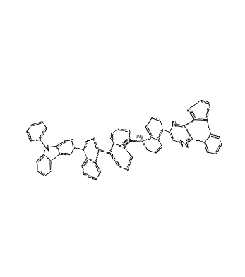 C1=CC2=C(c3cnc4c5ccccc5c5ccccc5c4n3)CCC=C2[C@H](c2cccc3c(-c4ccc(-c5ccc6c(c5)c5ccccc5n6-c5ccccc5)c5ccccc45)cccc23)C1